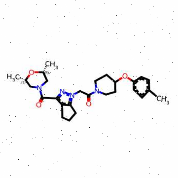 Cc1ccc(OC2CCN(C(=O)Cn3nc(C(=O)N4C[C@@H](C)O[C@@H](C)C4)c4c3CCC4)CC2)cc1